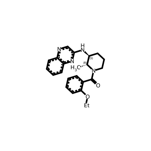 CCOc1ccccc1C(=O)N1CCC[C@H](Nc2cnc3ccccc3n2)[C@H]1C